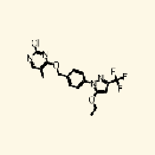 CCOc1cc(C(F)(F)F)nn1-c1ccc(COc2nc(Cl)ncc2C)cc1